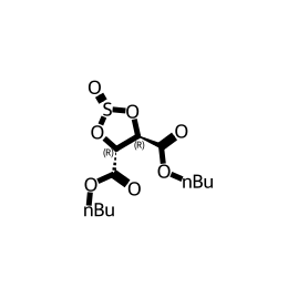 CCCCOC(=O)[C@@H]1OS(=O)O[C@H]1C(=O)OCCCC